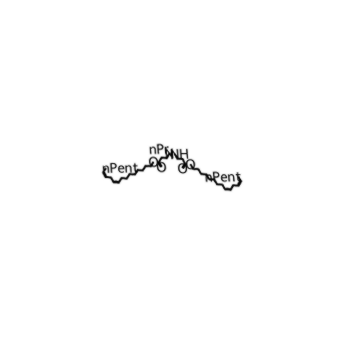 CCCCC/C=C\C/C=C\CCCCCCCCOC(=O)CCNN(CCC)CCC(=O)OCCCCCCCC/C=C\C/C=C\CCCCC